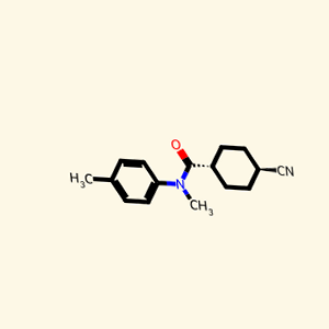 Cc1ccc(N(C)C(=O)[C@H]2CC[C@H](C#N)CC2)cc1